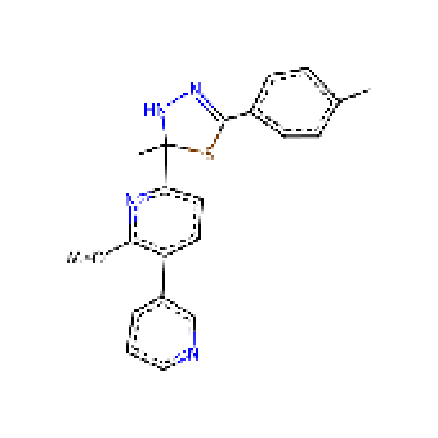 COc1nc(C2(C)NN=C(c3ccc(C)cc3)S2)ccc1-c1cccnc1